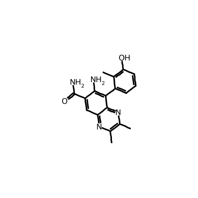 Cc1nc2cc(C(N)=O)c(N)c(-c3cccc(O)c3C)c2nc1C